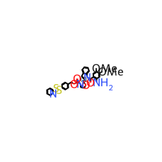 COc1cc(N)c(C(=O)N2c3ccccc3C[C@H]2C2OCCN2C(=O)OCc2ccc(SSc3ccccn3)cc2)cc1OC